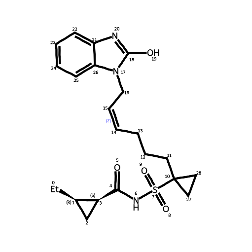 CC[C@@H]1C[C@@H]1C(=O)NS(=O)(=O)C1(CCC/C=C\Cn2c(O)nc3ccccc32)CC1